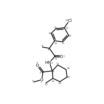 COC(=O)C1(NC(=O)C(C)c2ccc(Cl)cc2)CCCCC1C